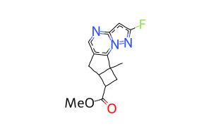 COC(=O)C1CC2(C)c3c(cnc4cc(F)nn34)CC12